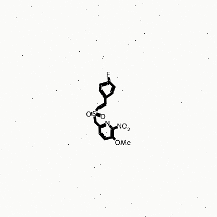 COc1ccc(CS(=O)(=O)C=Cc2ccc(F)cc2)nc1[N+](=O)[O-]